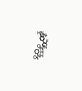 CNc1cc(-c2cc(NC(=O)[C@H]3CCC[C@@H](NC(C)=O)C3)ncc2F)ccc1C=N